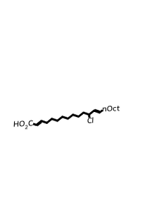 CCCCCCCCC=CC(Cl)CCCCCCCCC=CC(=O)O